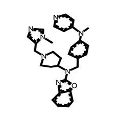 CN(c1ccncc1)c1ccc(CN(c2nc3ccccc3o2)C2CCN(Cc3cncn3C)CC2)cc1